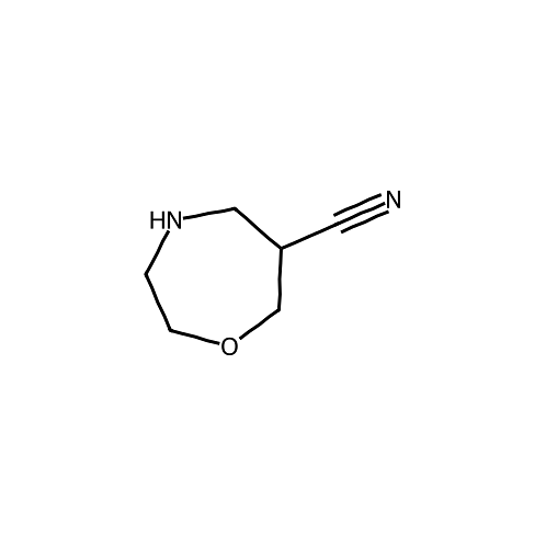 N#CC1CNCCOC1